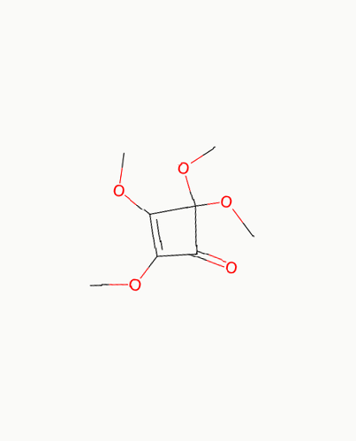 COC1=C(OC)C(OC)(OC)C1=O